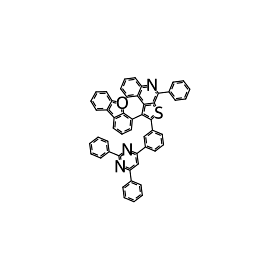 c1ccc(-c2cc(-c3cccc(-c4sc5c(-c6ccccc6)nc6ccccc6c5c4-c4cccc5c4oc4ccccc45)c3)nc(-c3ccccc3)n2)cc1